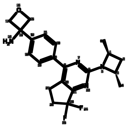 C[C@H]1C[C@H](C)N1c1nc(-c2ccc(C3(N)COC3)cc2)c2c(n1)C(F)(F)CC2